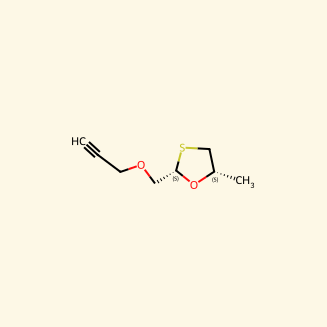 C#CCOC[C@H]1O[C@@H](C)CS1